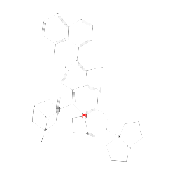 O=C1C[C@H](C(=O)N2C3C[C@H]2CN(c2nc(OCC45CCCN4CCC5)nc4c(F)c(-c5cccc6cccc(Cl)c56)ncc24)C3)O1